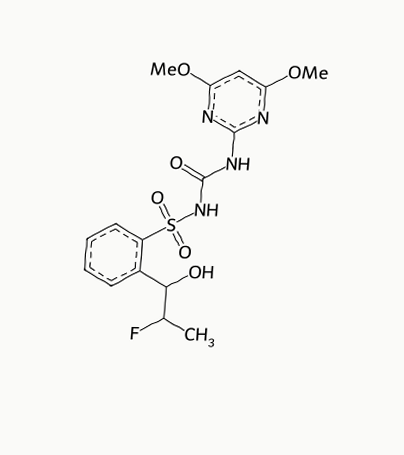 COc1cc(OC)nc(NC(=O)NS(=O)(=O)c2ccccc2C(O)C(C)F)n1